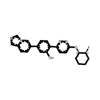 Oc1cc(-c2ccc3cncn3c2)ccc1-c1ccc(O[C@@H]2CCCC[C@@H]2F)nn1